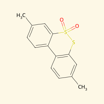 Cc1ccc2c(c1)SS(=O)(=O)c1cc(C)ccc1-2